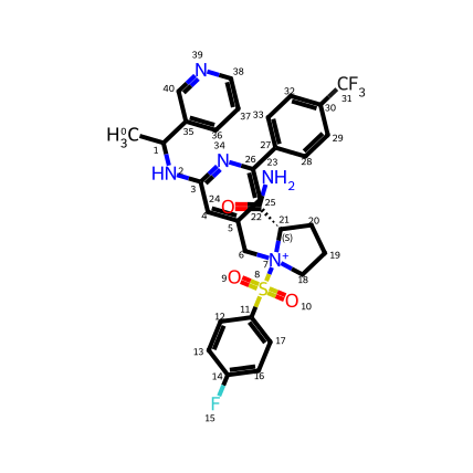 CC(Nc1cc(C[N+]2(S(=O)(=O)c3ccc(F)cc3)CCC[C@H]2C(N)=O)cc(-c2ccc(C(F)(F)F)cc2)n1)c1cccnc1